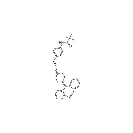 CC(C)(C)C(=O)Nc1ccc(/C=C/CN2CCC(=C3c4ccccc4C=Cc4ccccc43)CC2)cc1